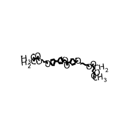 C=C(C)C(=O)OCCCOc1ccc(-c2ccc(OC(=O)c3ccc(OCCCCOC(=O)C(=C)CC(=O)OC)cc3)cc2)cc1